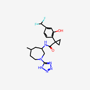 CC1CCN(c2nnn[nH]2)CC(NC(=O)C2(c3ccc(C(F)F)cc3O)CC2)C1